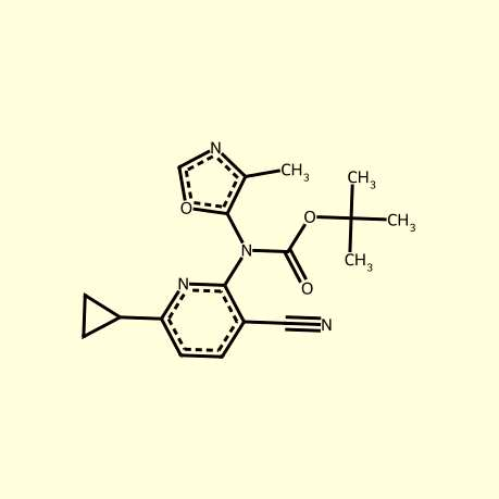 Cc1ncoc1N(C(=O)OC(C)(C)C)c1nc(C2CC2)ccc1C#N